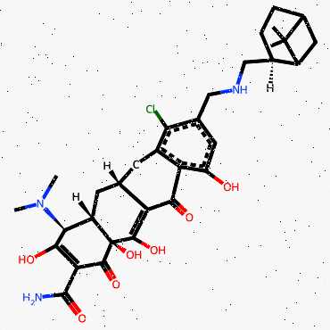 CN(C)[C@@H]1C(O)=C(C(N)=O)C(=O)[C@@]2(O)C(O)=C3C(=O)c4c(O)cc(CNC[C@H]5CCC6CC5C6(C)C)c(Cl)c4C[C@H]3C[C@@H]12